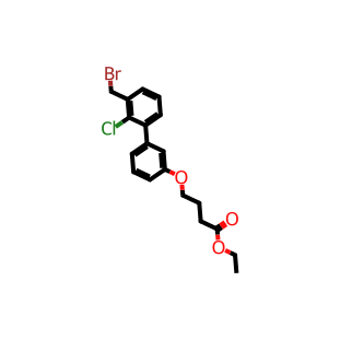 CCOC(=O)CCCOc1cccc(-c2cccc(CBr)c2Cl)c1